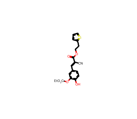 CCOC(=O)Oc1cc(/C=C(\C#N)C(=O)OCCc2cccs2)ccc1O